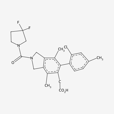 Cc1ccc(-c2c(C)c3c(c(C)c2CC(=O)O)CN(C(=O)N2CCC(F)(F)C2)C3)c(Cl)c1